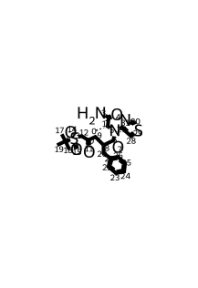 C[C@H](C(N)=O)N(C(=O)C(CC(=O)CS(=O)(=O)C(C)(C)C)Cc1ccccc1)c1cscn1